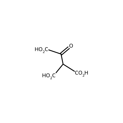 O=C(O)C(=O)C(C(=O)O)C(=O)O